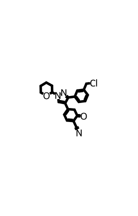 N#CC1=CC=C(c2cn(C3CCCCO3)nc2-c2cccc(CCl)c2)CC1=O